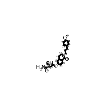 COc1ccc(CCCN2CCc3cc(OCCN(O)C(N)=O)ccc3C2=O)cc1